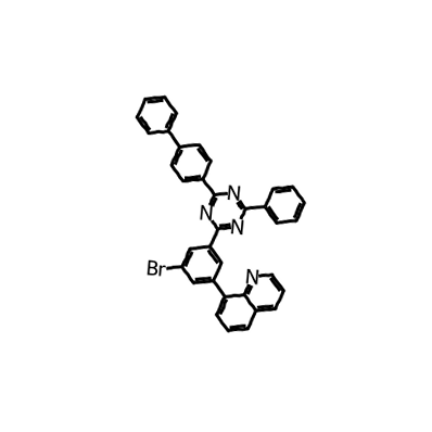 Brc1cc(-c2nc(-c3ccccc3)nc(-c3ccc(-c4ccccc4)cc3)n2)cc(-c2cccc3cccnc23)c1